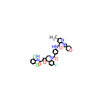 Cc1cnc(N2CC3(CCOCC3)C2)c(C(=O)Nc2ccc(C(=O)N3CCc4cc(C(=O)Nc5c(Cl)cccc5Cl)oc4-c4ccc(F)cc43)cc2)c1